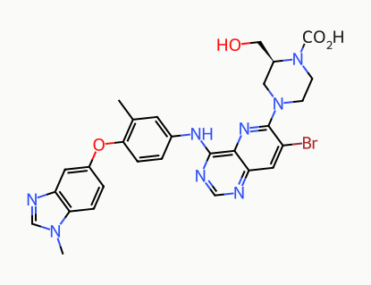 Cc1cc(Nc2ncnc3cc(Br)c(N4CCN(C(=O)O)[C@H](CO)C4)nc23)ccc1Oc1ccc2c(c1)ncn2C